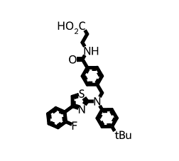 CC(C)(C)c1ccc(N(Cc2ccc(C(=O)NCCC(=O)O)cc2)c2nc(-c3ccccc3F)cs2)cc1